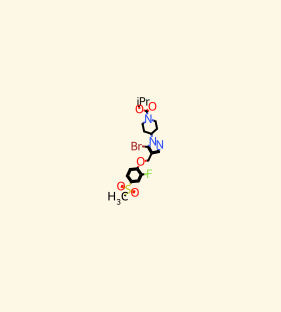 CC(C)OC(=O)N1CCC(n2ncc(COc3ccc(S(C)(=O)=O)cc3F)c2Br)CC1